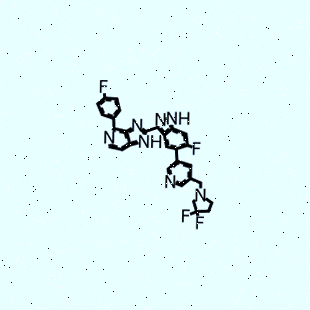 Fc1ccc(-c2nccc3[nH]c(-c4n[nH]c5cc(F)c(-c6cncc(CN7CCC(F)(F)C7)c6)cc45)nc23)cc1